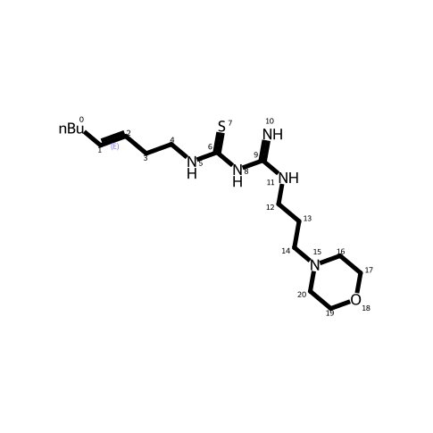 CCCC/C=C/CCNC(=S)NC(=N)NCCCN1CCOCC1